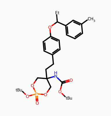 CCC(Oc1ccc(CCC2(NC(=O)OC(C)(C)C)COP(=O)(OC(C)(C)C)OC2)cc1)c1cccc(C)c1